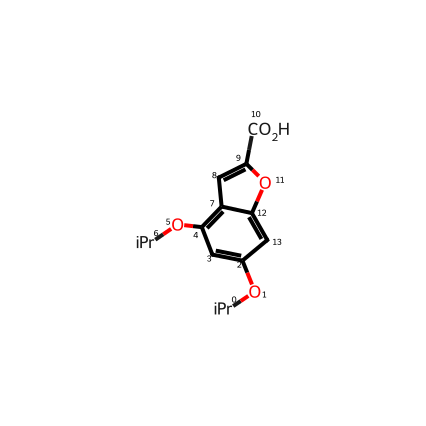 CC(C)Oc1cc(OC(C)C)c2cc(C(=O)O)oc2c1